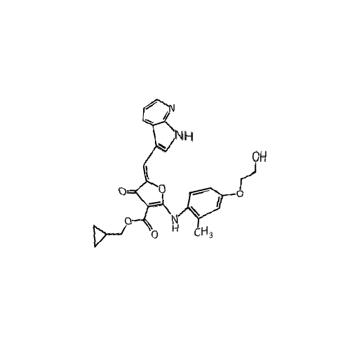 Cc1cc(OCCO)ccc1NC1=C(C(=O)OCC2CC2)C(=O)/C(=C/c2c[nH]c3ncccc23)O1